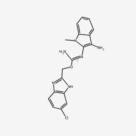 Cn1c(/N=C(\N)OCc2nc3ccc(Cl)cc3[nH]2)c(N)c2ccccc21